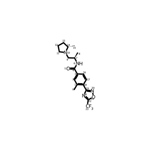 Cc1cc(C(=O)N[C@H](C)CN2CCC[C@@H]2C)ccc1-c1noc(C(F)(F)F)n1